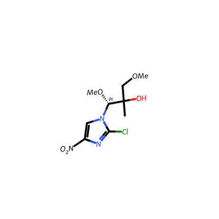 COCC(C)(O)[C@@H](OC)n1cc([N+](=O)[O-])nc1Cl